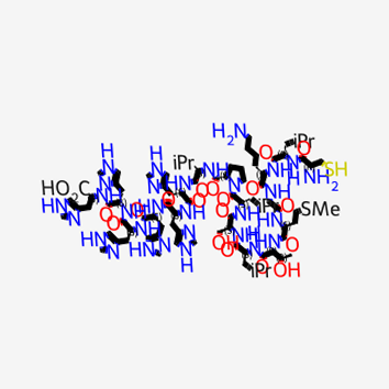 CSCC[C@H](NC(=O)CNC(=O)[C@H](CCCCN)NC(=O)[C@H](CC(C)C)NC(=O)[C@@H](N)CS)C(=O)N[C@H](C(=O)N[C@@H](CC(C)C)C(=O)N[C@@H](CO)C(=O)N[C@@H](CC(C)C)C(=O)N1CCC[C@H]1C(=O)N[C@H](C(=O)N[C@@H](Cc1c[nH]cn1)C(=O)N[C@@H](Cc1c[nH]cn1)C(=O)N[C@@H](Cc1c[nH]cn1)C(=O)N[C@@H](Cc1c[nH]cn1)C(=O)N[C@@H](Cc1c[nH]cn1)C(=O)N[C@@H](Cc1c[nH]cn1)C(=O)O)C(C)C)[C@@H](C)O